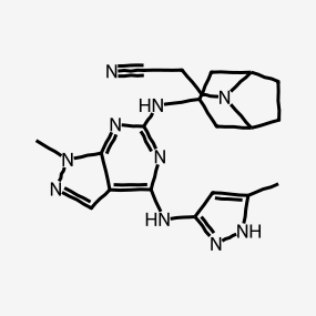 Cc1cc(Nc2nc(NC3CC4CCC(C3)N4CCC#N)nc3c2cnn3C)n[nH]1